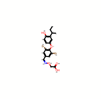 CCC(C)c1cc(Oc2c(Br)cc(/C=N\OCC(=O)O)cc2Br)ccc1O